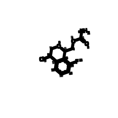 NC(=O)OCC1OCC(Cl)c2cccc(F)c21